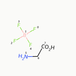 F[B-](F)(F)F.NCC(=O)O